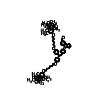 CC1(C)CC(OCCCCCCOc2ccc(C(=Cc3ccc(N4c5ccc(C=O)cc5C5CCCC54)cc3)c3ccc(OCCCCCCOC4CC(C)(C)N(O[Si](C)(C)C(C)(C)C)C(C)(C)C4)cc3)cc2)CC(C)(C)N1O[Si](C)(C)C(C)(C)C